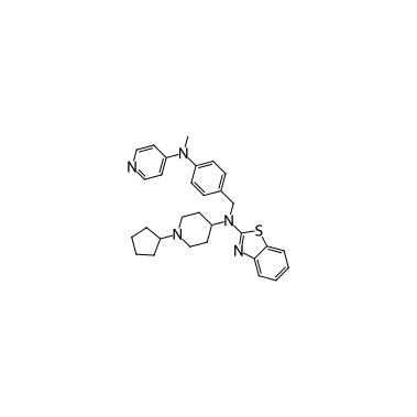 CN(c1ccncc1)c1ccc(CN(c2nc3ccccc3s2)C2CCN(C3CCCC3)CC2)cc1